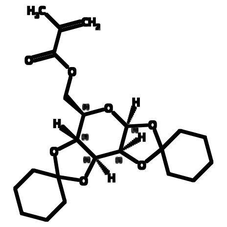 C=C(C)C(=O)OC[C@H]1O[C@H]2OC3(CCCCC3)O[C@H]2[C@H]2OC3(CCCCC3)O[C@@H]21